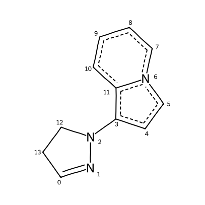 C1=NN(c2ccn3ccccc23)CC1